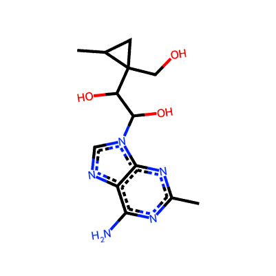 Cc1nc(N)c2ncn(C(O)C(O)C3(CO)CC3C)c2n1